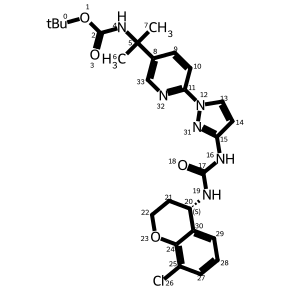 CC(C)(C)OC(=O)NC(C)(C)c1ccc(-n2ccc(NC(=O)N[C@H]3CCOc4c(Cl)cccc43)n2)nc1